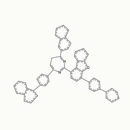 C1=C(c2ccc(-c3cccc4ccccc34)cc2)N=C(c2ccc(-c3ccc(-c4ccccc4)cc3)c3oc4ccccc4c23)N=C(c2ccc3ccccc3c2)C1